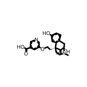 C[C@H]1[C@H]2Cc3ccc(O)cc3[C@]1(CCOc1cncc(C(=O)O)c1)CCN2C